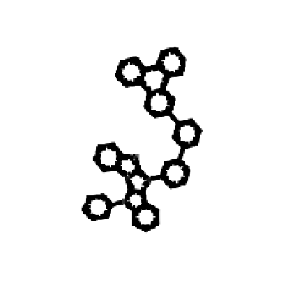 c1ccc(-n2c3ccccc3c3c2n2c4ccccc4nc2n3-c2cccc(-c3cccc(-c4ccc5c6ccccc6c6ccccc6c5c4)c3)c2)cc1